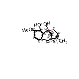 COc1ccc2c(c1O)[C@]13CCN(C)[C@H](C2)[C@@H]1C=CC[C@H]3O